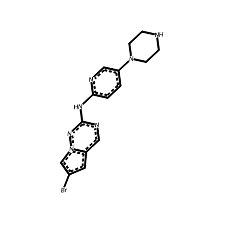 Brc1cc2cnc(Nc3ccc(N4CCNCC4)cn3)nn2c1